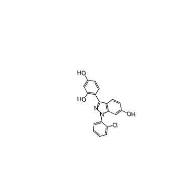 Oc1ccc(-c2nn(-c3ccccc3Cl)c3cc(O)ccc23)c(O)c1